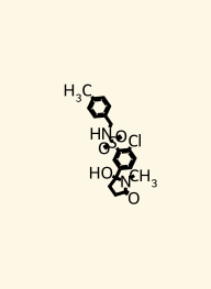 Cc1ccc(CNS(=O)(=O)c2cc(C3(O)CCC(=O)N3C)ccc2Cl)cc1